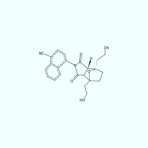 N#CCC[C@]12CCC(CCO)(O1)C1C(=O)N(c3ccc(C#N)c4ccccc34)C(=O)[C@@H]12